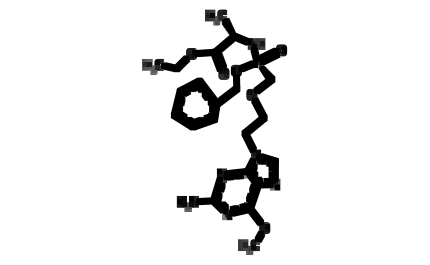 CCOC(=O)[C@@H](C)N[P@@](=O)(COCCn1cnc2c(OC)nc(N)nc21)OCc1ccccc1